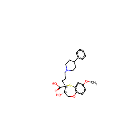 COc1ccc2c(c1)S[C@@](CCCN1CCC(c3ccccc3)CC1)(C(=O)O)[C@@H](O)CO2